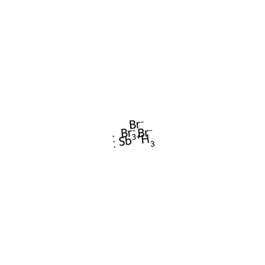 [Br-].[Br-].[Br-].[SbH3+3]